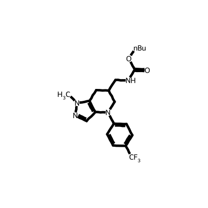 CCCCOC(=O)NCC1Cc2c(cnn2C)N(c2ccc(C(F)(F)F)cc2)C1